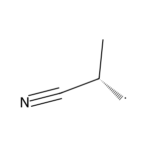 [CH2][C@@H](C)C#N